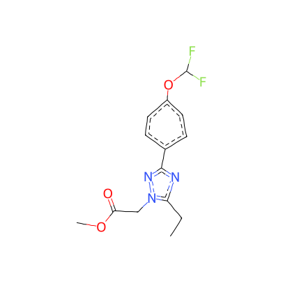 CCc1nc(-c2ccc(OC(F)F)cc2)nn1CC(=O)OC